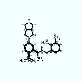 C/C(N)=c1\ncc(N2CC3COCC3C2)c\c1=C(\N)NCc1cccc(C(F)(F)F)c1C